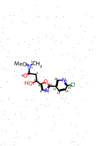 CON(C)C(=O)CC(O)c1cnc(-c2ccc(Cl)nc2)o1